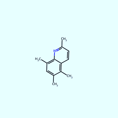 Cc1ccc2c(C)c(C)cc(C)c2n1